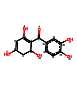 O=C(C1=C(O)C=C(O)CC1O)c1ccc(O)c(O)c1